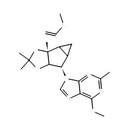 CNC(=O)[C@]12CC1[C@@H](n1cnc3c(NC)nc(I)nc31)C1OC(C)(C)O[C@@H]12